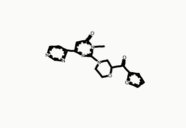 Cn1c(N2CCOC(C(=O)c3ccco3)C2)nc(-c2ccncn2)cc1=O